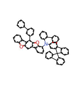 c1ccc(-c2cccc(-c3c4oc5c(N(c6ccc7c(c6)C6(c8ccccc8-c8ccccc86)c6ccccc6-7)c6ccccc6-c6ccccc6)cccc5c4cc4oc5ccccc5c34)c2)cc1